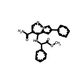 COC(=O)C(Nc1c(C(N)=O)cnn2cc(-c3ccccc3)cc12)c1ccccc1